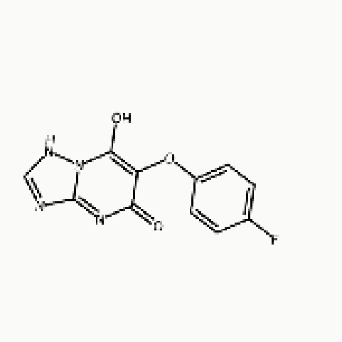 O=c1nc2nc[nH]n2c(O)c1Oc1ccc(F)cc1